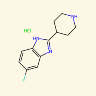 Cl.Fc1ccc2[nH]c(C3CCNCC3)nc2c1